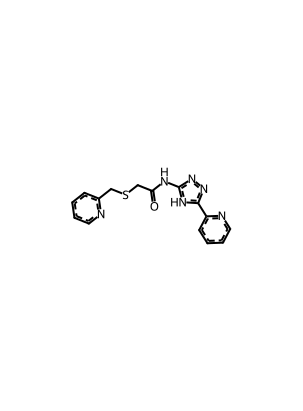 O=C(CSCc1ccccn1)Nc1nnc(-c2ccccn2)[nH]1